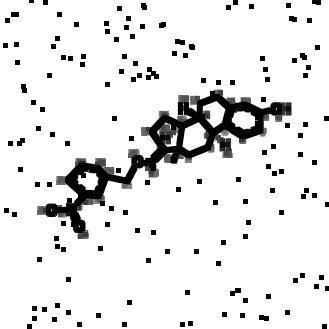 C[C@]12CC[C@@H]3c4ccc(O)cc4CC[C@H]3[C@@H]1CC/C2=N\OCc1cccc([N+](=O)[O-])c1